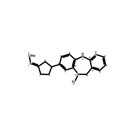 CO/N=C1/CCC(c2ccc3c(c2)N(C(C)=O)Cc2cccnc2N3)C1